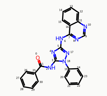 O=C(Nc1nc(Nc2ncnc3ccccc23)nn1-c1ccccc1)c1ccccc1